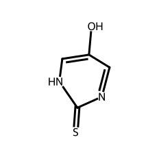 Oc1cnc(=S)[nH]c1